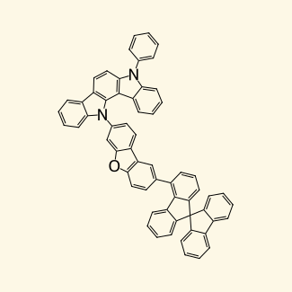 c1ccc(-n2c3ccccc3c3c2ccc2c4ccccc4n(-c4ccc5c(c4)oc4ccc(-c6cccc7c6-c6ccccc6C76c7ccccc7-c7ccccc76)cc45)c23)cc1